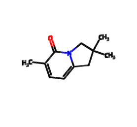 Cc1ccc2n(c1=O)CC(C)(C)C2